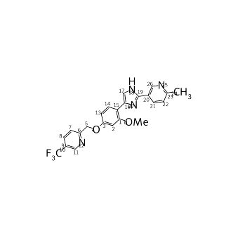 COc1cc(OCc2ccc(C(F)(F)F)cn2)ccc1-c1c[nH]c(-c2ccc(C)nc2)n1